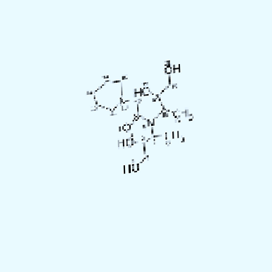 CC(C(O)CO)N(C(=O)CN1CCCCC1)C(C)C(O)CO